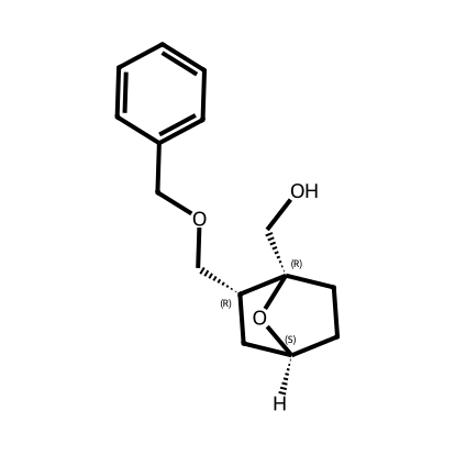 OC[C@@]12CC[C@@H](C[C@@H]1COCc1ccccc1)O2